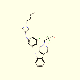 CCCCN1CC(Nc2cc(F)c([C@@H]3c4[nH]c5ccccc5c4C[C@@H](C)N3CC(F)(F)CO)c(F)c2)C1